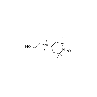 CC1(C)CC([N+](C)(C)CCO)CC(C)(C)N1[O]